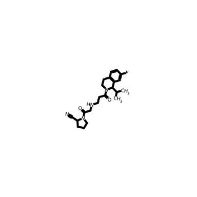 CC(C)C1c2cc(F)ccc2CCN1C(=O)CCNCC(=O)N1CCCC1C#N